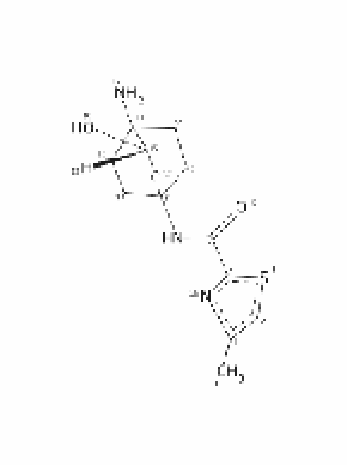 Cc1csc(C(=O)NC23CCC(N)(CC2)[C@@H](O)C3)n1